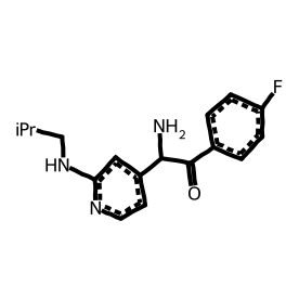 CC(C)CNc1cc(C(N)C(=O)c2ccc(F)cc2)ccn1